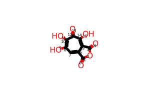 O=C1OC(=O)c2c1cc(O)c(O)c(=O)c2O